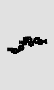 CC1(O)CCN(Cc2ccc(-c3cc4c(-c5cccc(N6CCOc7cc(C8CC8)ccc7C6)c5CO)ncnc4[nH]3)cc2)CC1